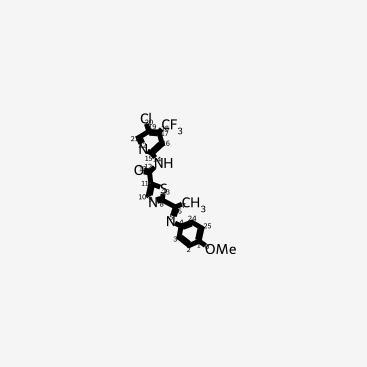 COc1ccc(/N=C(\C)c2ncc(C(=O)Nc3cc(C(F)(F)F)c(Cl)cn3)s2)cc1